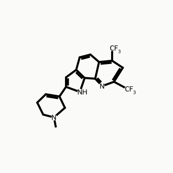 CN1CCC=C(c2cc3ccc4c(C(F)(F)F)cc(C(F)(F)F)nc4c3[nH]2)C1